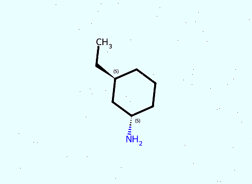 CC[C@H]1CCC[C@H](N)C1